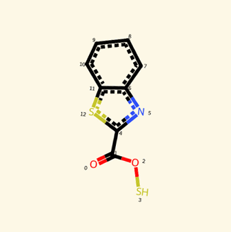 O=C(OS)c1nc2ccccc2s1